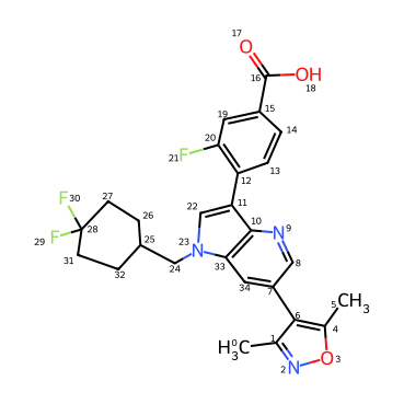 Cc1noc(C)c1-c1cnc2c(-c3ccc(C(=O)O)cc3F)cn(CC3CCC(F)(F)CC3)c2c1